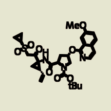 C=C[C@@H]1C[C@]1(NC(=O)C1C[C@@H](Oc2nccc3ccc(OC)cc23)CN1C(=O)OC(C)(C)C)C(=O)CS(=O)(=O)C1CC1